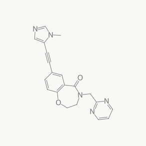 Cn1cncc1C#Cc1ccc2c(c1)C(=O)N(Cc1ncccn1)CCO2